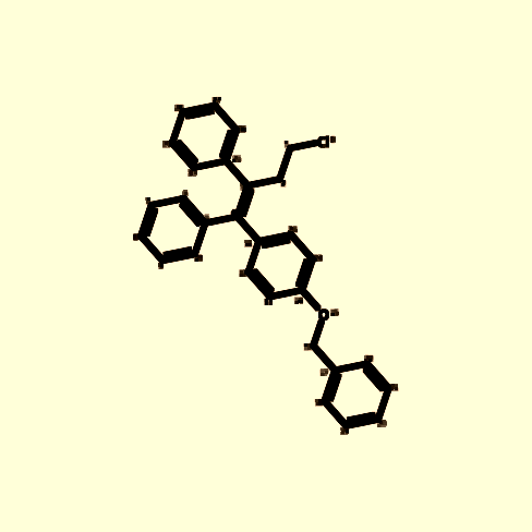 ClCCC(=C(c1ccccc1)c1ccc(OCc2ccccc2)cc1)c1ccccc1